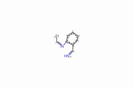 CC/C=N\c1ccccc1C=N